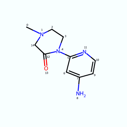 CN1CCN(c2cc(N)ccn2)C(=O)C1